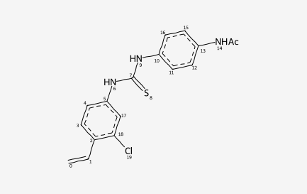 C=Cc1ccc(NC(=S)Nc2ccc(NC(C)=O)cc2)cc1Cl